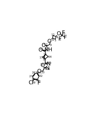 O=C(COC1CC(OC(F)(F)F)C1)NC(=O)C12CC(c3nnc(COc4ccc(Cl)c(F)c4)o3)(C1)C2